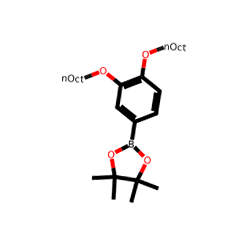 CCCCCCCCOc1ccc(B2OC(C)(C)C(C)(C)O2)cc1OCCCCCCCC